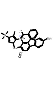 CC/[C](c1ccccc1)=[Zr+2](\[C]1=C(C)C([Si](C)(C)C)=CC1C)[c]1c(C(C)(C)C)ccc2c1Cc1cc(C(C)(C)C)ccc1-2.[Cl-].[Cl-]